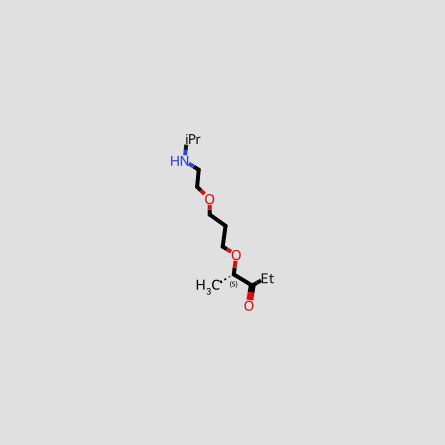 CCC(=O)[C@H](C)OCCCOCCNC(C)C